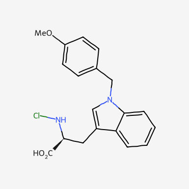 COc1ccc(Cn2cc(C[C@H](NCl)C(=O)O)c3ccccc32)cc1